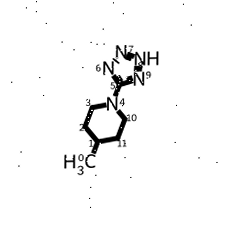 CC1CCN(c2nn[nH]n2)CC1